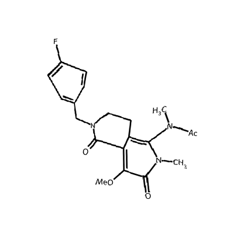 COc1c2c(c(N(C)C(C)=O)n(C)c1=O)CCN(Cc1ccc(F)cc1)C2=O